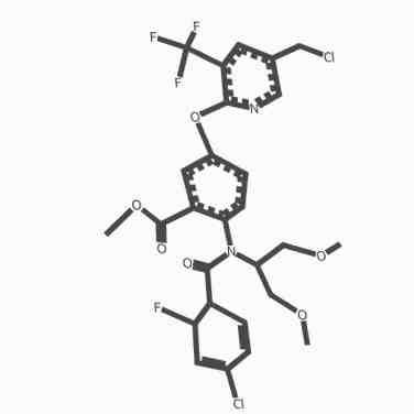 COCC(COC)N(C(=O)C1C=CC(Cl)=CC1F)c1ccc(Oc2ncc(CCl)cc2C(F)(F)F)cc1C(=O)OC